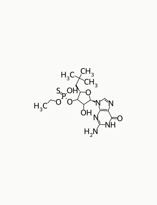 CCOP(O)(=S)OC1C(O)[C@H](n2cnc3c(=O)[nH]c(N)nc32)O[C@@H]1CC(C)(C)C